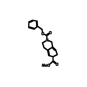 COC(=O)C1C=C2CCN(C(=O)OCc3ccccc3)CC2=CC1